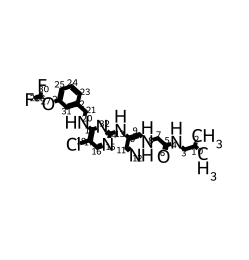 CC(C)CNC(=O)CN/C=C(\C=N)Nc1ncc(Cl)c(NCc2cccc(OC(F)F)c2)n1